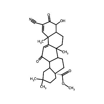 COC(=O)[C@@]12CCC3C(C(=O)C=C4C5(C)C=C(C#N)C(=O)C(O)C5CCC43C)C1CC(C)(C)CC2